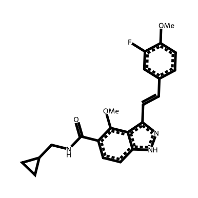 COc1ccc(/C=C/c2n[nH]c3ccc(C(=O)NCC4CC4)c(OC)c23)cc1F